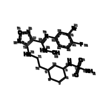 NS(=O)(=O)NC1CCCC(CCNc2nonc2C(=Nc2ccc(F)c(Br)c2)NO)C1